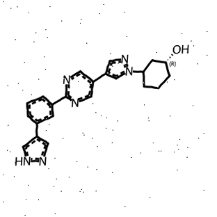 O[C@@H]1CCCC(n2cc(-c3cnc(-c4cccc(-c5cn[nH]c5)c4)nc3)cn2)C1